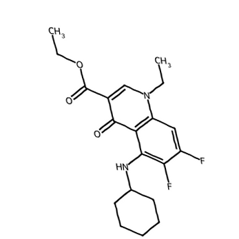 CCOC(=O)c1cn(CC)c2cc(F)c(F)c(NC3CCCCC3)c2c1=O